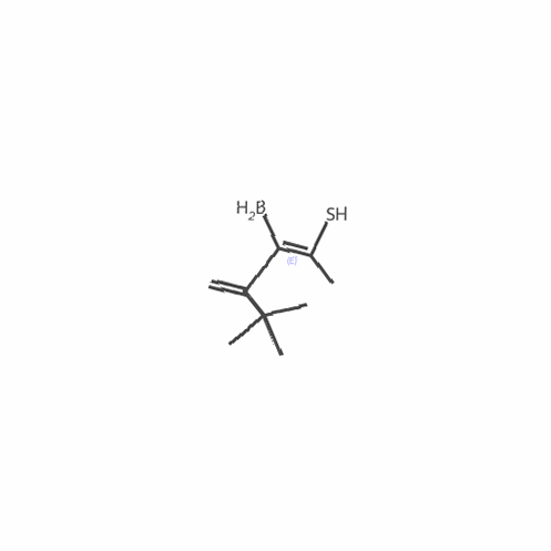 B/C(C(=C)C(C)(C)C)=C(/C)S